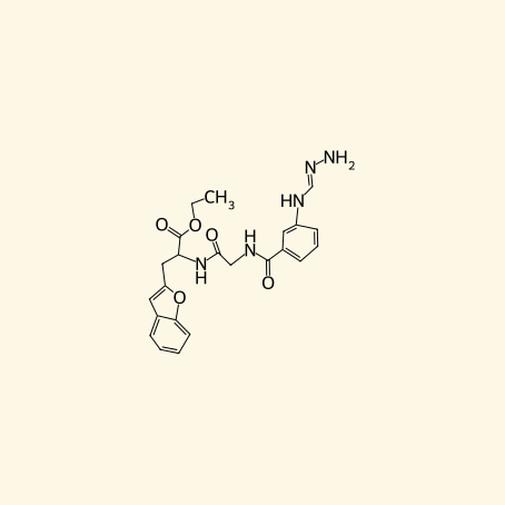 CCOC(=O)C(Cc1cc2ccccc2o1)NC(=O)CNC(=O)c1cccc(NC=NN)c1